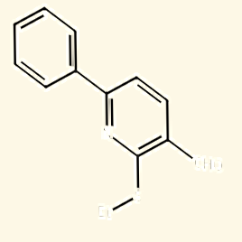 CCSc1nc(-c2ccccc2)ccc1C=O